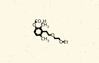 CCOCCOCCc1c(C)ccc(OC(=O)O)c1C